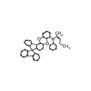 CC/C=C(/C)N(c1ccccc1)c1cccc2c1Oc1ccc3c(c1O2)-c1ccccc1C31c2ccccc2-c2ccccc21